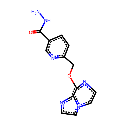 NNC(=O)c1ccc(COc2nccn3ccnc23)nc1